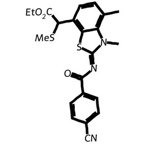 CCOC(=O)C(SC)c1ccc(C)c2c1sc(=NC(=O)c1ccc(C#N)cc1)n2C